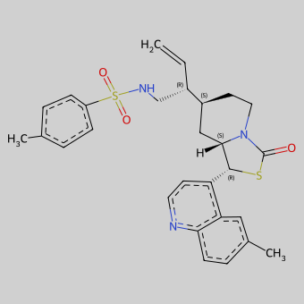 C=C[C@@H](CNS(=O)(=O)c1ccc(C)cc1)[C@H]1CCN2C(=O)S[C@H](c3ccnc4ccc(C)cc34)[C@@H]2C1